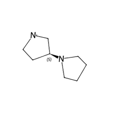 C1CCN([C@H]2CC[N]C2)C1